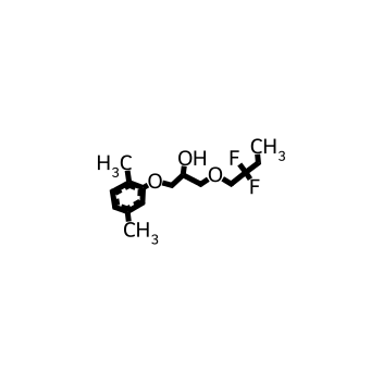 CCC(F)(F)COCC(O)COc1cc(C)ccc1C